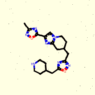 Cc1noc(-c2cn3c(n2)CC(Cc2noc(CC4CCNCC4)n2)CC3)n1